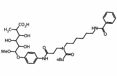 CCCCC(=O)N(CCCCCCNC(=O)c1ccccc1)CCC(=O)Nc1ccc(OC(OC)C(O)C(O)C(O)C(C)C(=O)O)cc1